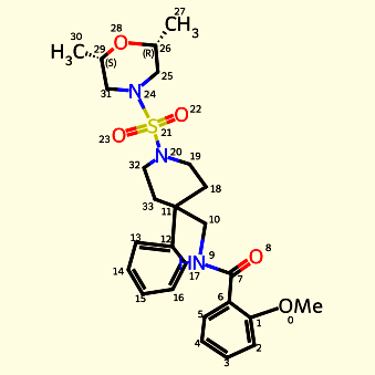 COc1ccccc1C(=O)NCC1(c2ccccc2)CCN(S(=O)(=O)N2C[C@@H](C)O[C@@H](C)C2)CC1